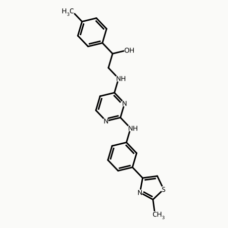 Cc1ccc(C(O)CNc2ccnc(Nc3cccc(-c4csc(C)n4)c3)n2)cc1